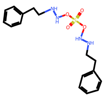 O=S(=O)(ONNCCc1ccccc1)ONNCCc1ccccc1